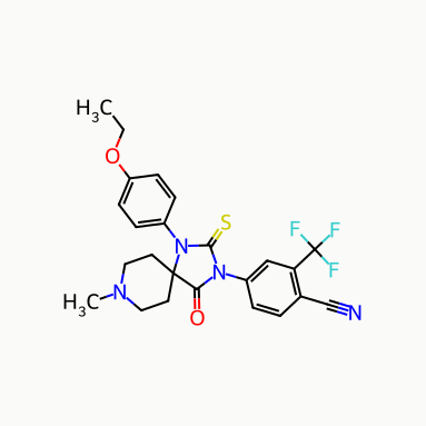 CCOc1ccc(N2C(=S)N(c3ccc(C#N)c(C(F)(F)F)c3)C(=O)C23CCN(C)CC3)cc1